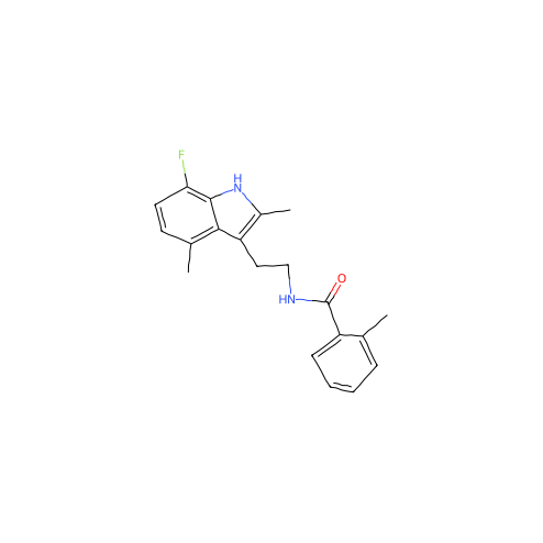 Cc1ccccc1C(=O)NCCc1c(C)[nH]c2c(F)ccc(C)c12